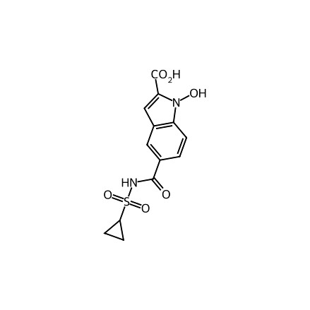 O=C(NS(=O)(=O)C1CC1)c1ccc2c(c1)cc(C(=O)O)n2O